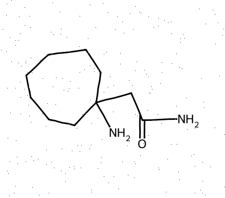 NC(=O)CC1(N)CCCCCCC1